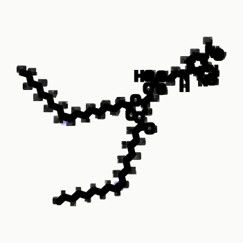 CCCCCCCC/C=C\CCCCCCCC(=O)OC[C@H](COP(=O)(O)OCCNc1ccc([N+](C)=O)c2nonc12)OC(=O)CCCCCCC/C=C\CCCCCCCC